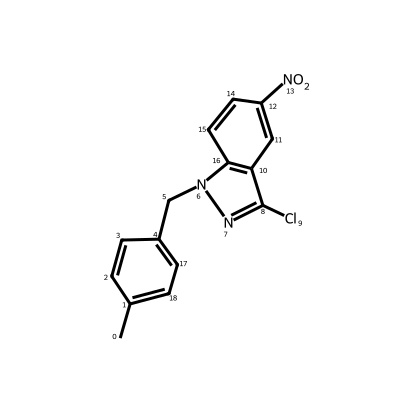 Cc1ccc(Cn2nc(Cl)c3cc([N+](=O)[O-])ccc32)cc1